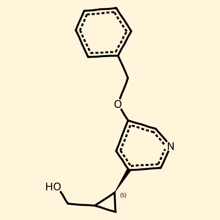 OCC1C[C@@H]1c1cncc(OCc2ccccc2)c1